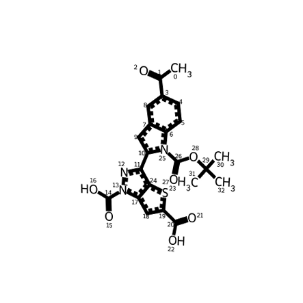 CC(=O)c1ccc2c(c1)cc(-c1nn(C(=O)O)c3cc(C(=O)O)sc13)n2C(=O)OC(C)(C)C